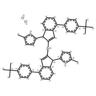 Cc1ccc(C2[C]([Zr+2][C]3=Cc4c(-c5ccc(C(C)(C)C)cc5)cccc4C3c3ccc(C)s3)=Cc3c(-c4ccc(C(C)(C)C)cc4)cccc32)s1.[Cl-].[Cl-]